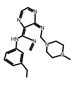 C=N/C(Nc1cccc(CC)c1)=C1/N=CC=N/C1=N/CN1CCN(C)CC1